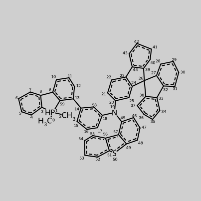 C[PH]1(C)c2ccccc2-c2cccc(-c3cccc(N(c4ccc5c(c4)C4(c6ccccc6-c6ccccc64)c4ccccc4-5)c4cccc5sc6ccccc6c45)c3)c21